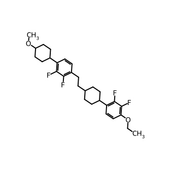 CCOc1ccc(C2CCC(CCc3ccc(C4CCC(OC)CC4)c(F)c3F)CC2)c(F)c1F